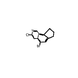 Clc1cc2c(Br)cc3c(c2cn1)CCC3